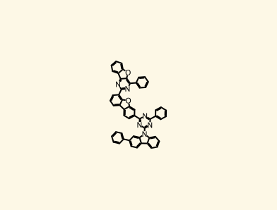 c1ccc(-c2ccc3c4ccccc4n(-c4nc(-c5ccccc5)nc(-c5ccc6c(c5)oc5c(-c7nc(-c8ccccc8)c8oc9ccccc9c8n7)cccc56)n4)c3c2)cc1